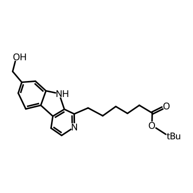 CC(C)(C)OC(=O)CCCCCc1nccc2c1[nH]c1cc(CO)ccc12